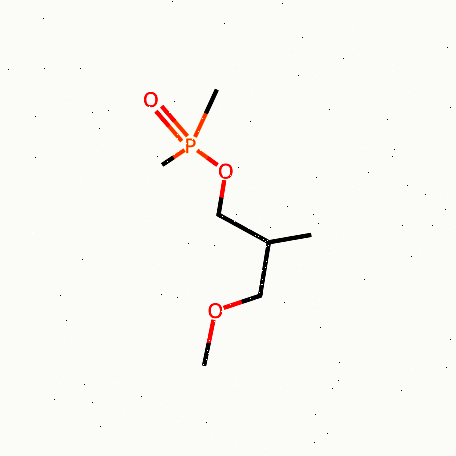 COCC(C)COP(C)(C)=O